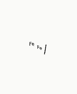 CC.[Fe].[Fe]